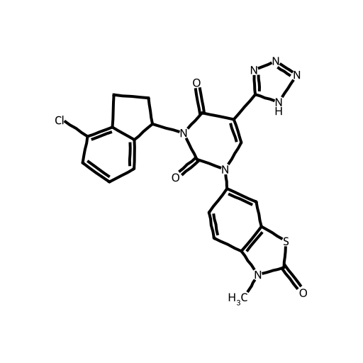 Cn1c(=O)sc2cc(-n3cc(-c4nnn[nH]4)c(=O)n(C4CCc5c(Cl)cccc54)c3=O)ccc21